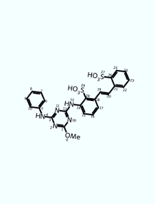 COc1nc(Nc2ccccc2)nc(Nc2cccc(C=Cc3ccccc3S(=O)(=O)O)c2S(=O)(=O)O)n1